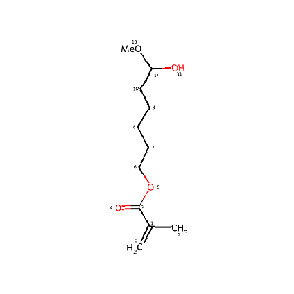 C=C(C)C(=O)OCCCCCC(O)OC